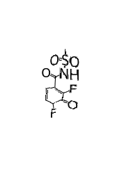 CS(=O)(=O)NC(=O)C1=C(F)C(=O)C(F)C=C1